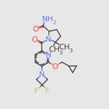 CC1(C)CCC(C(N)=O)N1C(=O)c1ccc(N2CC(F)(F)C2)c(OCC2CC2)n1